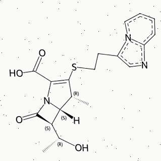 C[C@@H](O)[C@H]1C(=O)N2C(C(=O)O)=C(SCCc3cnc4ccccn34)[C@H](C)[C@H]12